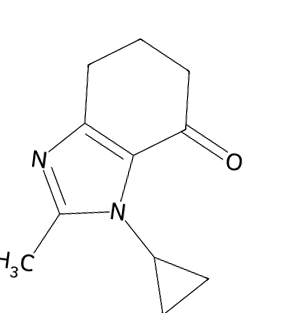 Cc1nc2c(n1C1CC1)C(=O)CCC2